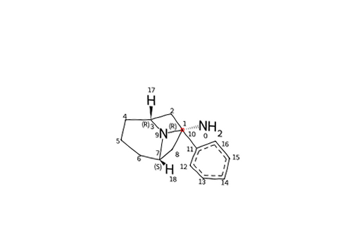 N[C@H]1C[C@H]2CCC[C@@H](C1)N2Cc1ccccc1